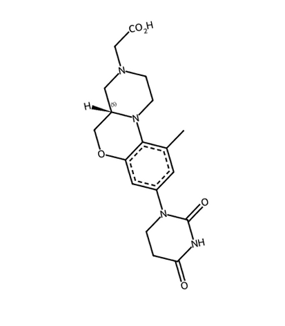 Cc1cc(N2CCC(=O)NC2=O)cc2c1N1CCN(CC(=O)O)C[C@H]1CO2